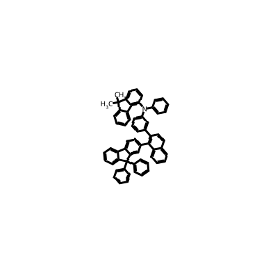 CC1(C)c2ccccc2-c2c(N(c3ccccc3)c3cccc(-c4ccc5ccccc5c4-c4ccc5c(c4)C(c4ccccc4)(c4ccccc4)c4ccccc4-5)c3)cccc21